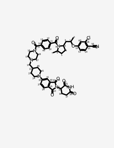 CC(CC1CCC(C)N1C(=O)c1ccc(C(=O)N2CCN(CC3CCN(c4ccc5c(c4)C(=O)N(C4CCC(=O)NC4=O)C5=O)CC3)CC2)cc1)Oc1ccc(C#N)c(Cl)c1